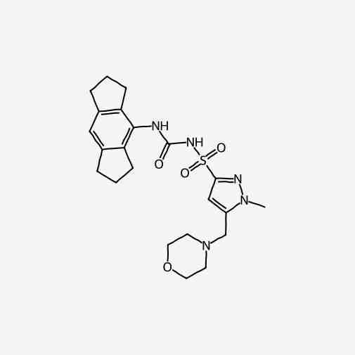 Cn1nc(S(=O)(=O)NC(=O)Nc2c3c(cc4c2CCC4)CCC3)cc1CN1CCOCC1